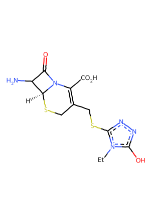 CCn1c(O)nnc1SCC1=C(C(=O)O)N2C(=O)C(N)[C@@H]2SC1